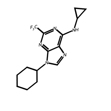 FC(F)(F)c1nc(NC2CC2)c2ncn(C3CCCCC3)c2n1